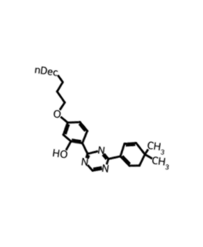 CCCCCCCCCCCCCOc1ccc(-c2ncnc(C3=CCC(C)(C)C=C3)n2)c(O)c1